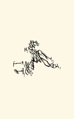 CCn1c(CNC(=O)c2nc(Cl)c(N)nc2N)[n+](CC(=O)NCCCN(C)C(=O)OC(C)(C)C)c2ccc(OC)cc21